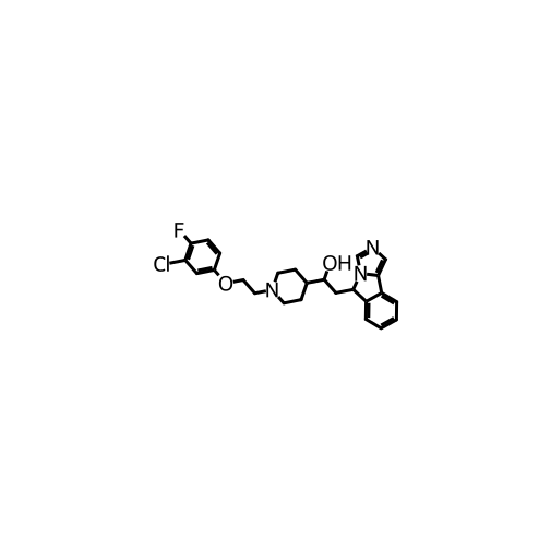 OC(CC1c2ccccc2-c2cncn21)C1CCN(CCOc2ccc(F)c(Cl)c2)CC1